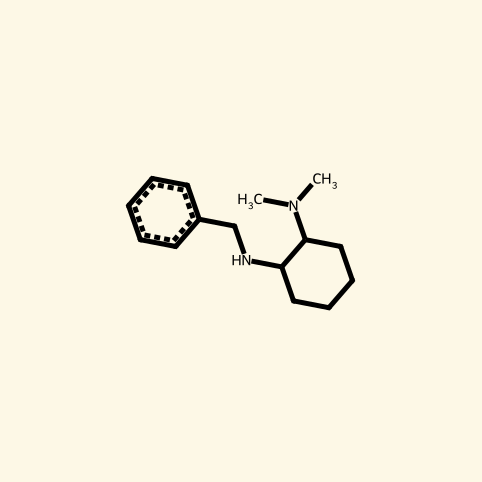 CN(C)C1CCCCC1NCc1ccccc1